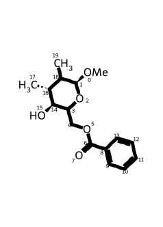 CO[C@H]1OC(COC(=O)c2ccccc2)[C@@H](O)[C@H](C)C1C